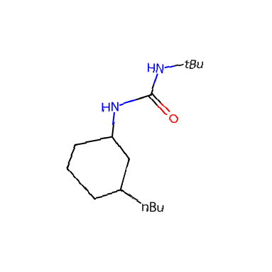 CCCCC1CCCC(NC(=O)NC(C)(C)C)C1